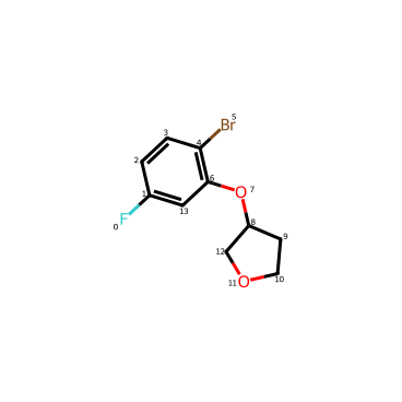 Fc1ccc(Br)c(OC2CCOC2)c1